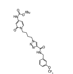 CC(C)(C)OC(=O)Nc1ccn(CCCCn2cc(C(=O)NCc3cccc(OC(F)(F)F)c3)nn2)c(=O)c1